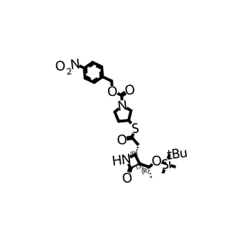 C[C@@H](O[Si](C)(C)C(C)(C)C)[C@H]1C(=O)N[C@@H]1CC(=O)SC1CCN(C(=O)OCc2ccc([N+](=O)[O-])cc2)C1